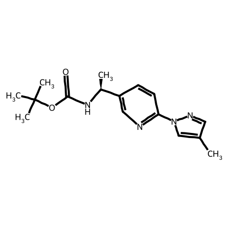 Cc1cnn(-c2ccc([C@H](C)NC(=O)OC(C)(C)C)cn2)c1